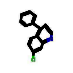 Clc1ccc2c(-c3ccccc3)[c]cnc2c1